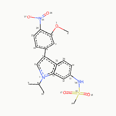 COc1cc(-c2cn(C(C)C)c3cc(NS(C)(=O)=O)ccc23)ccc1[N+](=O)[O-]